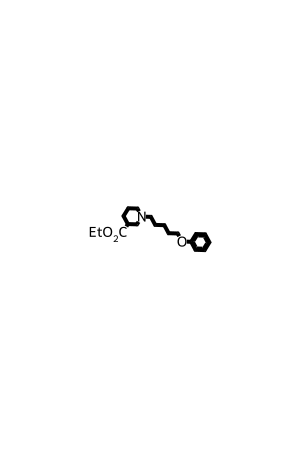 CCOC(=O)C1CCCN(CCCCCOc2ccccc2)C1